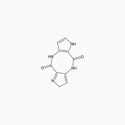 O=C1Nc2cc[nH]c2C(=O)NC2=CCN=C12